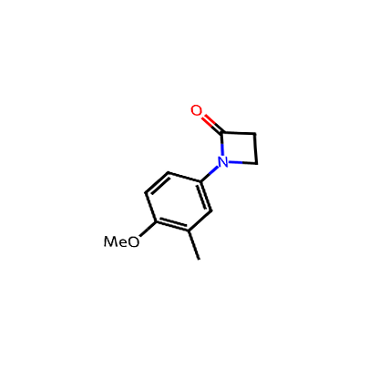 COc1ccc(N2CCC2=O)cc1C